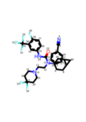 N#Cc1cccc([C@]23CC[C@@H](N(CCN4CCC(F)(F)CC4)C(=O)Nc4ccc(F)c(C(F)(F)F)c4)CC2C3)c1